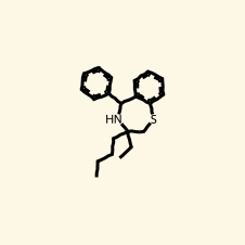 CCCCC1(CC)CSc2ccccc2C(c2ccccc2)N1